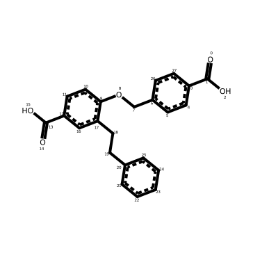 O=C(O)c1ccc(COc2ccc(C(=O)O)cc2CCc2ccccc2)cc1